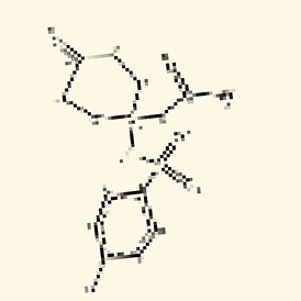 Cc1ccc(S(=O)(=O)OS2(CC(=O)C(C)C)CCC(=O)CC2)cc1